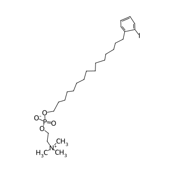 C[N+](C)(C)CCOP(=O)([O-])OCCCCCCCCCCCCCCCc1ccccc1I